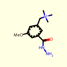 COc1cc(C[N+](C)(C)C)cc(C(=O)NN)c1